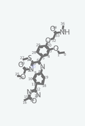 CCOc1cc(C(=Nc2ccc(-c3noc(C)n3)cc2)/C(=N/C(=O)OC)SC)ccc1OCC(=O)NC